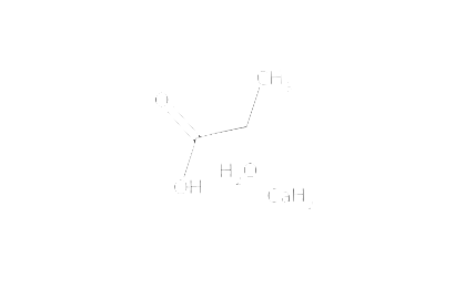 CCC(=O)O.O.[CaH2]